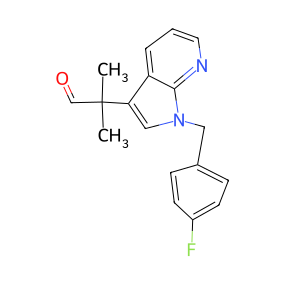 CC(C)(C=O)c1cn(Cc2ccc(F)cc2)c2ncccc12